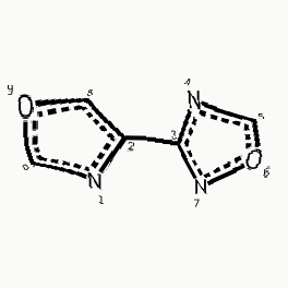 [c]1nc(-c2ncon2)co1